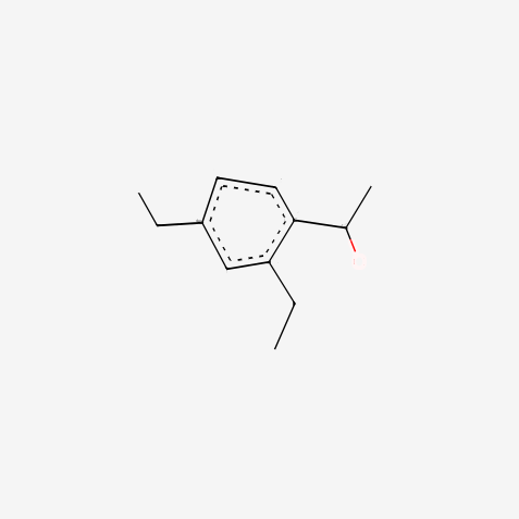 CCc1ccc(C(C)[O])c(CC)c1